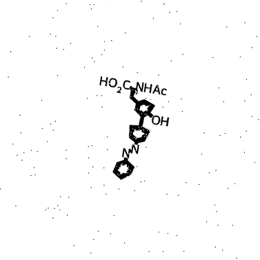 CC(=O)N[C@@H](Cc1ccc(O)c(-c2ccc(N=Nc3ccccc3)cc2)c1)C(=O)O